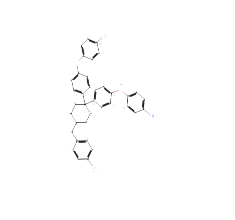 CCCCCCCCc1ccc(CC2CCC(c3ccc(Oc4ccc(N)cc4)cc3)(c3ccc(Oc4ccc(N)cc4)cc3)CC2)cc1